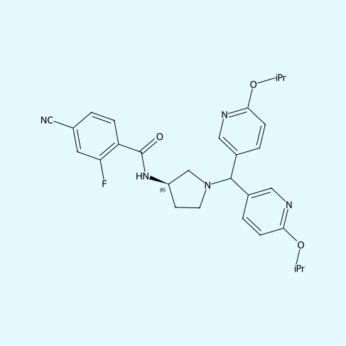 CC(C)Oc1ccc(C(c2ccc(OC(C)C)nc2)N2CC[C@@H](NC(=O)c3ccc(C#N)cc3F)C2)cn1